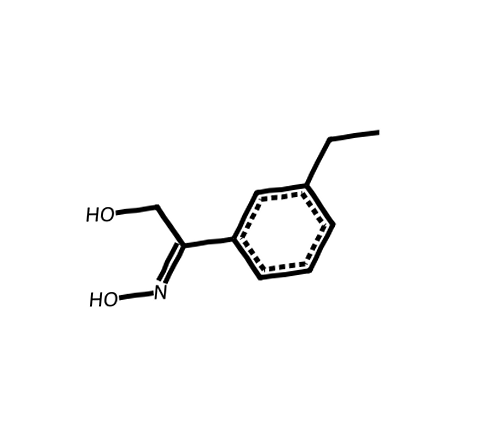 CCc1cccc(C(CO)=NO)c1